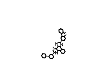 c1ccc(-c2cccc(-c3cnc4c(n3)c3ccccc3c3nc(-c5ccc6sc7ccccc7c6c5)cnc34)c2)cc1